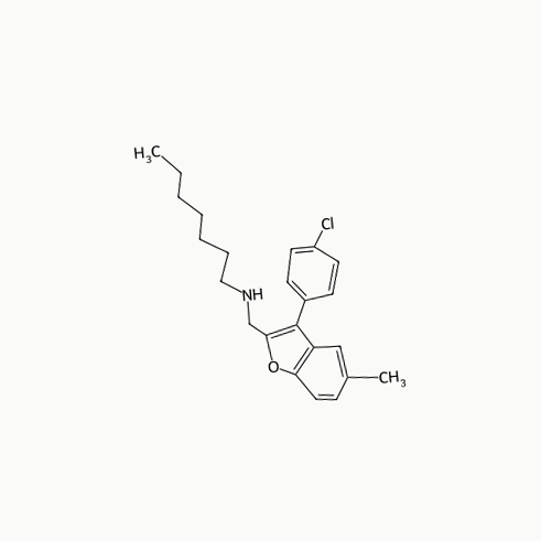 CCCCCCCNCc1oc2ccc(C)cc2c1-c1ccc(Cl)cc1